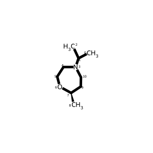 CC(C)N1CCO[C@H](C)CC1